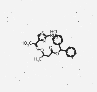 CC(CC(=O)OC(c1ccccc1)c1ccccc1)ON=C(C(=O)O)c1csc(N)n1.Cl